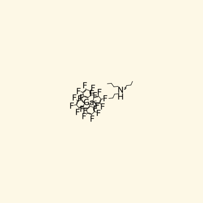 CCCC[NH+](CCCC)CCCC.Fc1c(F)c(F)[c]([Ga-]([c]2c(F)c(F)c(F)c(F)c2F)([c]2c(F)c(F)c(F)c(F)c2F)[c]2c(F)c(F)c(F)c(F)c2F)c(F)c1F